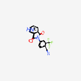 N#Cc1ccc(N2C(=O)C3C4CCC(NC4)C3C2=O)cc1C(F)(F)F